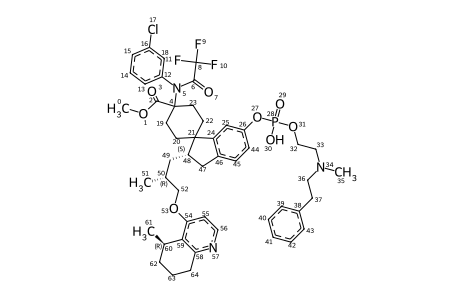 COC(=O)C1(N(C(=O)C(F)(F)F)c2cccc(Cl)c2)CCC2(CC1)c1cc(OP(=O)(O)OCCN(C)CCc3ccccc3)ccc1C[C@@H]2C[C@@H](C)COc1ccnc2c1[C@H](C)CCC2